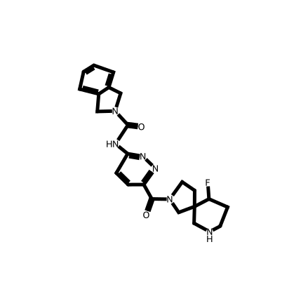 O=C(Nc1ccc(C(=O)N2CCC3(CNCCC3F)C2)nn1)N1Cc2ccccc2C1